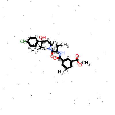 COC(=O)c1cc(C)cc(C(=O)N[C@@H](C(=O)N2CC[C@](O)(c3ccc(Cl)cc3)C(C)(C)C2)C(C)C)c1